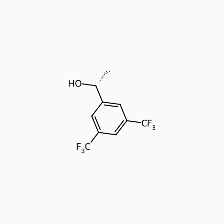 [CH2][C@@H](O)c1cc(C(F)(F)F)cc(C(F)(F)F)c1